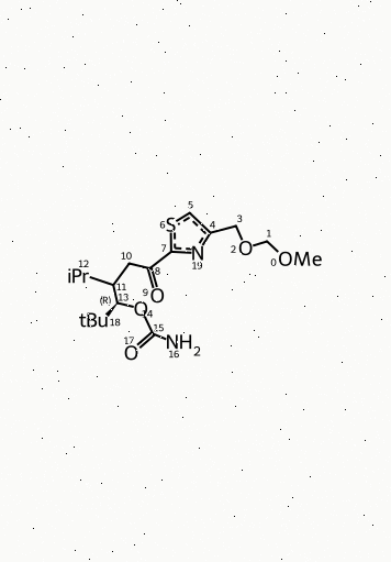 COCOCc1csc(C(=O)CC(C(C)C)[C@@H](OC(N)=O)C(C)(C)C)n1